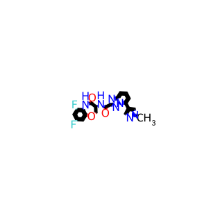 Cn1cc(-c2cccc3nc(C(=O)N[C@H]4COc5cc(F)cc(F)c5NC4=O)nn23)cn1